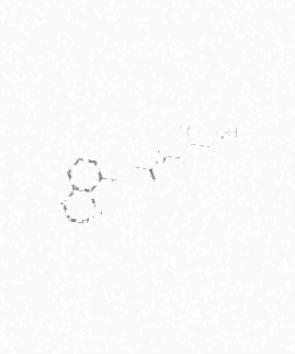 O=C(COc1cccc2cccnc12)NCC(O)CO